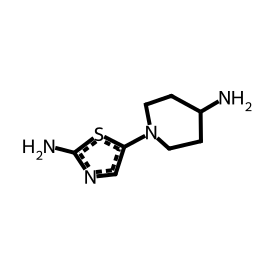 Nc1ncc(N2CCC(N)CC2)s1